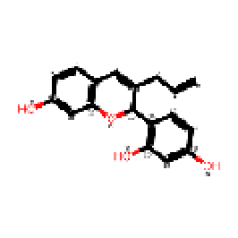 C=CCC1=Cc2ccc(O)cc2OC1c1ccc(O)cc1O